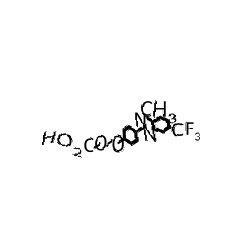 Cc1nc(-c2ccc(OCCOCC(=O)O)cc2)nc2cc(C(F)(F)F)ccc12